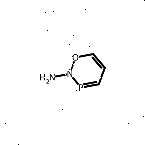 NN1OC=CC=P1